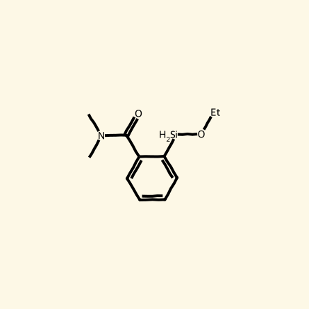 CCO[SiH2]c1ccccc1C(=O)N(C)C